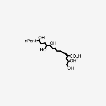 CCCCCC(O)CCC(O)C(O)CCCCCC=C(CC(O)CO)C(=O)O